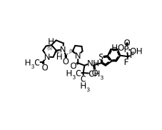 CC(=O)N1CC[C@H]2CCN(C(=O)[C@@H]3CCCN3C(=O)C(NC(=O)c3cc4cc(C(F)(F)P(=O)(O)O)ccc4s3)C(C)(C)C)[C@H]2C1